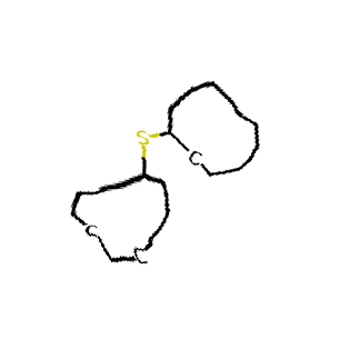 C1CCCCC(SC2CCCCCCCCC2)CCCC1